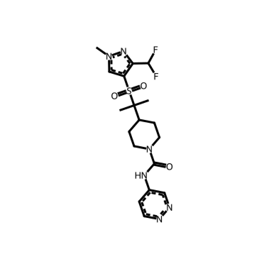 Cn1cc(S(=O)(=O)C(C)(C)C2CCN(C(=O)Nc3ccnnc3)CC2)c(C(F)F)n1